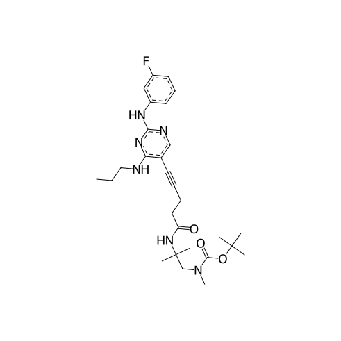 CCCNc1nc(Nc2cccc(F)c2)ncc1C#CCCC(=O)NC(C)(C)CN(C)C(=O)OC(C)(C)C